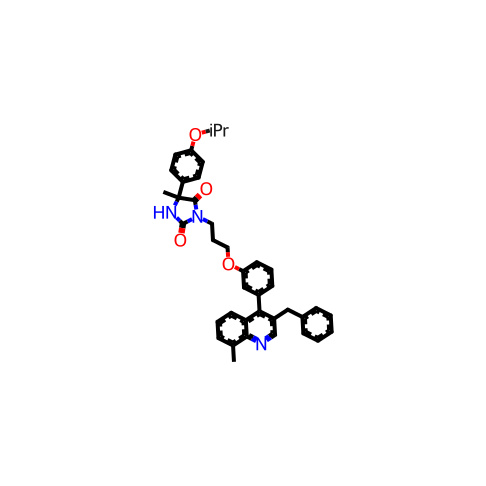 Cc1cccc2c(-c3cccc(OCCCN4C(=O)NC(C)(c5ccc(OC(C)C)cc5)C4=O)c3)c(Cc3ccccc3)cnc12